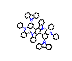 c1ccc(N2c3ccccc3B3c4c(cc(-n5c6ccccc6c6ccccc65)cc42)-c2c4c5ccccc5n5c4c(c4c6ccccc6n3c24)-c2cc(-n3c4ccccc4c4ccccc43)cc3c2B5c2ccccc2N3c2ccccc2)cc1